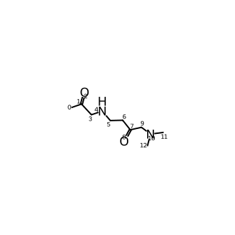 CC(=O)CNCCC(=O)CN(C)C